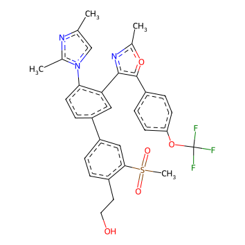 Cc1cn(-c2ccc(-c3ccc(CCO)c(S(C)(=O)=O)c3)cc2-c2nc(C)oc2-c2ccc(OC(F)(F)F)cc2)c(C)n1